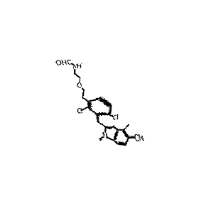 Cc1c(C#N)ccc2c1cc(Cc1c(Cl)ccc(CCOCCNC=O)c1Cl)n2C